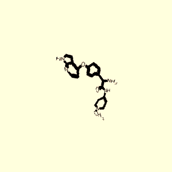 CN1CCC(NC(=O)C(N)c2ccc(Oc3ccnc4[nH]ccc34)cc2)CC1